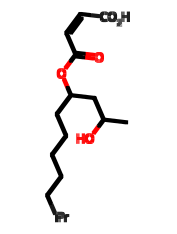 CC(C)CCCCCC(CC(C)O)OC(=O)/C=C\C(=O)O